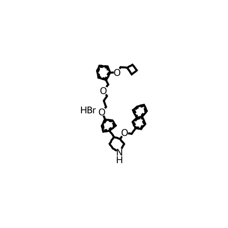 Br.c1ccc(OCC2CCC2)c(COCCCOc2ccc(C3CCNCC3OCc3ccc4ccccc4c3)cc2)c1